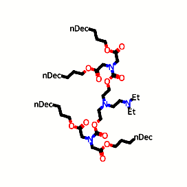 CCCCCCCCCCCCCOC(=O)CN(CC(=O)OCCCCCCCCCCCCC)C(=O)OCCN(CCOC(=O)N(CC(=O)OCCCCCCCCCCCCC)CC(=O)OCCCCCCCCCCCCC)CCN(CC)CC